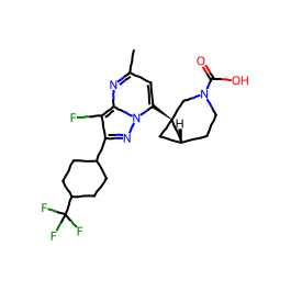 Cc1cc([C@]23C[C@H]2CCN(C(=O)O)C3)n2nc(C3CCC(C(F)(F)F)CC3)c(F)c2n1